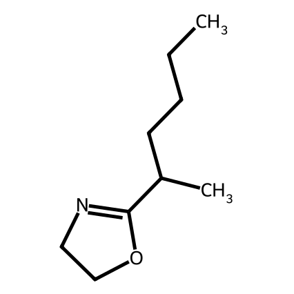 CCCCC(C)C1=NCCO1